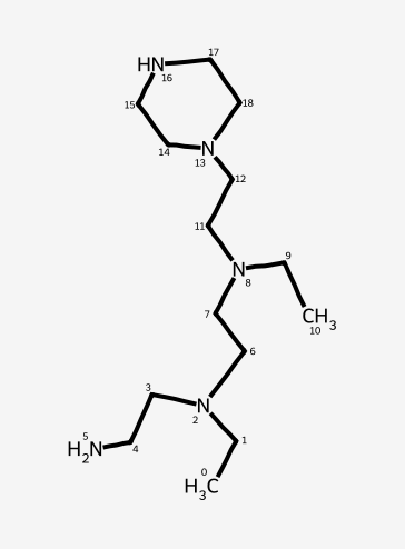 CCN(CCN)CCN(CC)CCN1CCNCC1